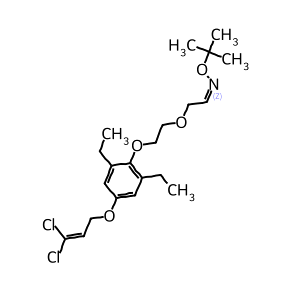 CCc1cc(OCC=C(Cl)Cl)cc(CC)c1OCCOC/C=N\OC(C)(C)C